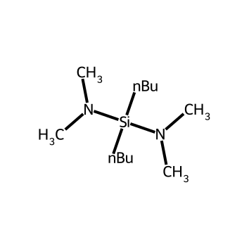 CCCC[Si](CCCC)(N(C)C)N(C)C